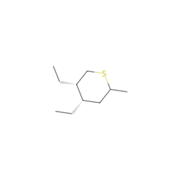 CC[C@@H]1CSC(C)C[C@@H]1CC